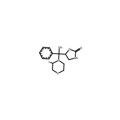 O=C1NCC(C(O)(c2ccccc2)N2CCOCC2F)O1